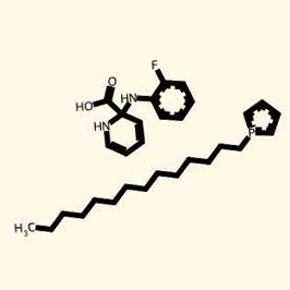 CCCCCCCCCCCCCCp1cccc1.O=C(O)C1(Nc2ccccc2F)C=CC=CN1